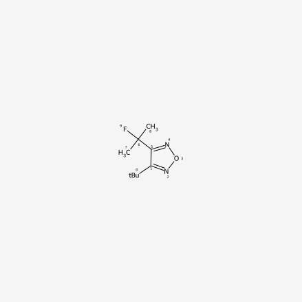 CC(C)(C)c1nonc1C(C)(C)F